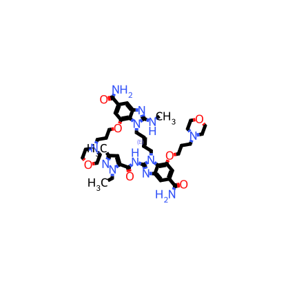 CCn1nc(C)cc1C(=O)Nc1nc2cc(C(N)=O)cc(OCCCN3CCOCC3)c2n1C/C=C/Cn1c(NC)nc2cc(C(N)=O)cc(OCCCN3CCOCC3)c21